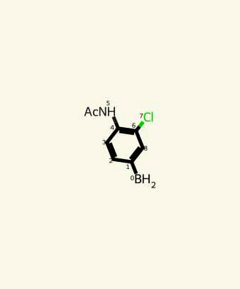 Bc1ccc(NC(C)=O)c(Cl)c1